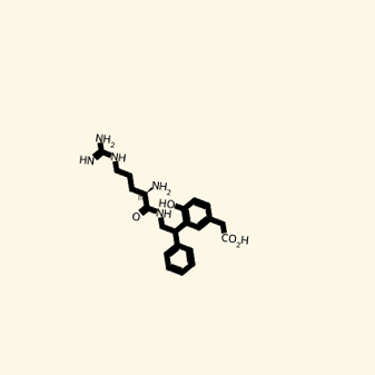 N=C(N)NCCC[C@H](N)C(=O)NCC(c1ccccc1)c1cc(CC(=O)O)ccc1O